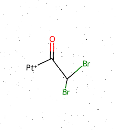 O=[C]([Pt+])C(Br)Br